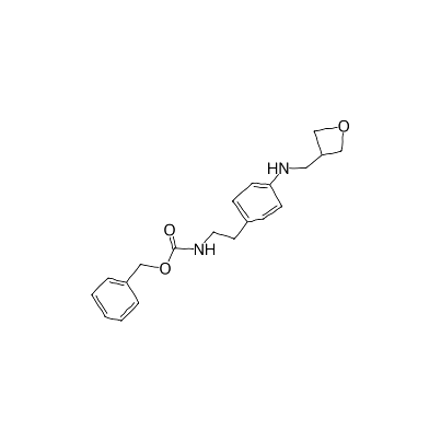 O=C(NCCc1ccc(NCC2COC2)cc1)OCc1ccccc1